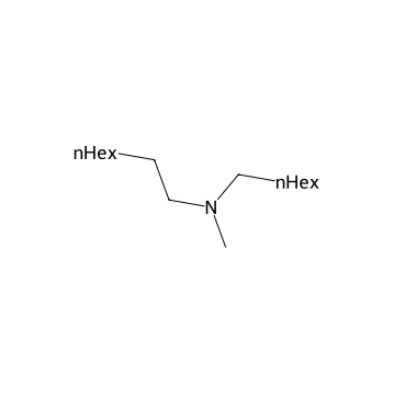 CCCCCCCCN(C)CCCCCCC